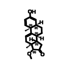 CO[C@@H]1C(=O)C[C@H]2[C@@H]3CC[C@@H]4C=C(O)C=C[C@]4(C)C3=CC[C@]12C